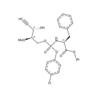 C#C[C@H](O)[C@@H](COP(=O)(N[C@@H](Cc1ccccc1)C(=O)OC(C)C)Oc1ccc(Cl)cc1)OC